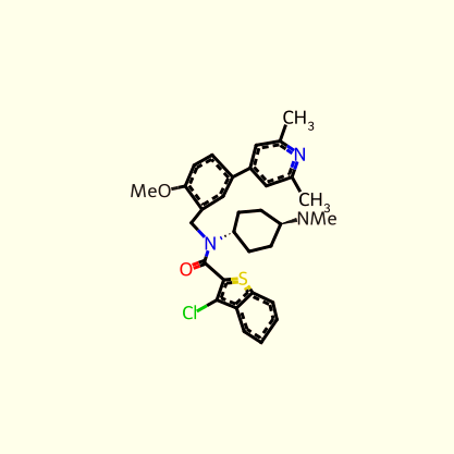 CN[C@H]1CC[C@H](N(Cc2cc(-c3cc(C)nc(C)c3)ccc2OC)C(=O)c2sc3ccccc3c2Cl)CC1